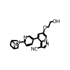 CN1C2CC1CN(c1ccc(-c3cc(OCCO)cn4ncc(C#N)c34)cn1)C2